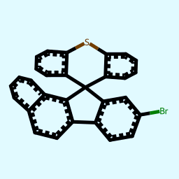 Brc1ccc2c(c1)C1(c3ccccc3Sc3ccccc31)c1c-2ccc2ccccc12